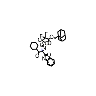 O=C(/C(=N\OS(=O)(=O)C(F)(F)C(=O)OCC12CC3CC(CC(C3)C1)C2)c1nc2ccccc2o1)C1CCCCC1